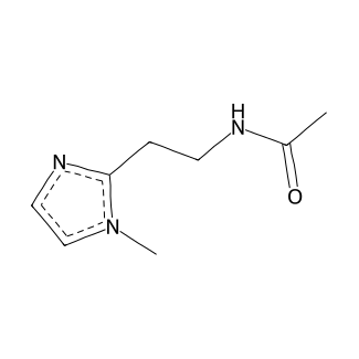 CC(=O)NCCc1nccn1C